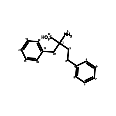 NC(CCc1ccccc1)(Cc1ccccc1)S(=O)(=O)O